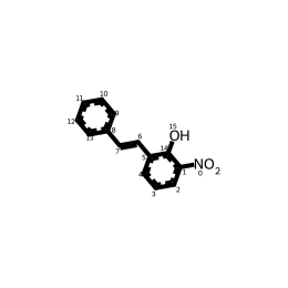 O=[N+]([O-])c1cccc(/C=C/c2ccccc2)c1O